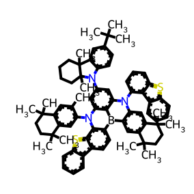 Cc1cc2c(cc1N1c3cc(N4c5ccc(C(C)(C)C)cc5C5(C)CCCCC45C)cc4c3B(c3cc5c(cc3N4c3cccc4sc6ccccc6c34)C(C)(C)CCC5(C)C)c3ccc4c(sc5ccccc54)c31)C(C)(C)CCC2(C)C